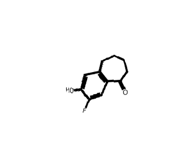 O=C1CCCCc2cc(O)c(F)cc21